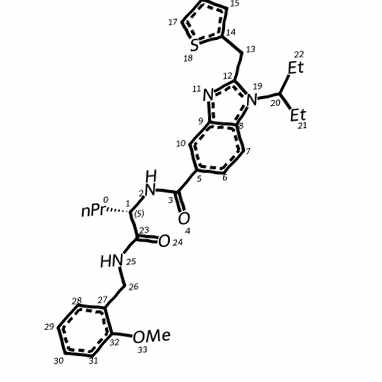 CCC[C@H](NC(=O)c1ccc2c(c1)nc(Cc1cccs1)n2C(CC)CC)C(=O)NCc1ccccc1OC